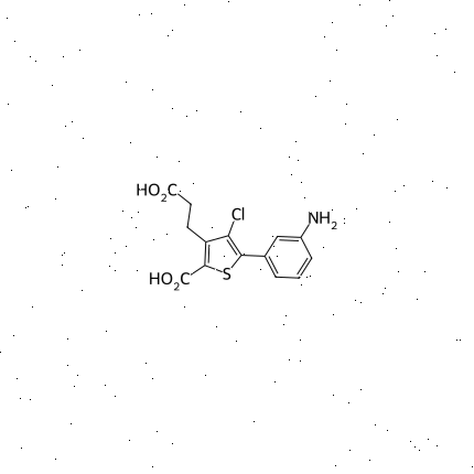 Nc1cccc(-c2sc(C(=O)O)c(CCC(=O)O)c2Cl)c1